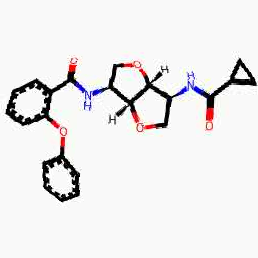 O=C(N[C@H]1CO[C@H]2[C@@H]1OC[C@@H]2NC(=O)C1CC1)c1ccccc1Oc1ccccc1